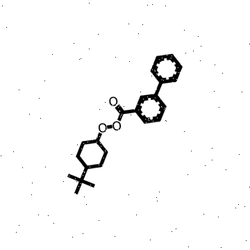 CC(C)(C)C1CC[C](OOC(=O)c2cccc(-c3ccccc3)c2)CC1